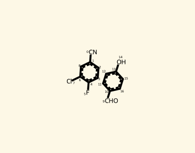 N#Cc1ccc(F)c(Cl)c1.O=Cc1ccc(O)cc1